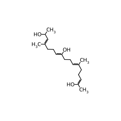 CC(O)=CCCC(C)=CCCC(O)=CCCC(C)=CC(C)O